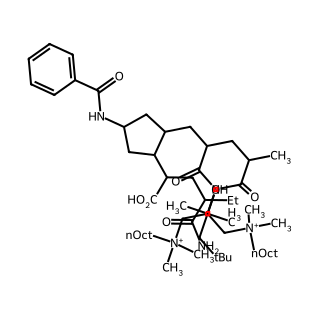 CCCCCCCC[N+](C)(C)CC(C[N+](C)(C)CCCCCCCC)OC(=O)C(C)CC(CC1CC(NC(=O)c2ccccc2)CC1C(CC(CC)C(N)=O)C(=O)O)C(=O)NC(C)(C)CC(C)(C)C